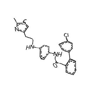 Cc1nc(CCNc2ccc(NC(=O)c3ccccc3-c3ccc(Cl)cc3)cc2)cs1